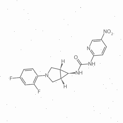 O=C(Nc1ccc([N+](=O)[O-])cn1)N[C@H]1[C@@H]2CN(c3ccc(F)cc3F)C[C@@H]21